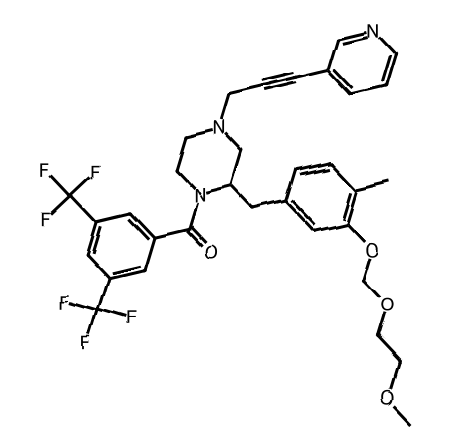 COCCOCOc1cc(CC2CN(CC#Cc3cccnc3)CCN2C(=O)c2cc(C(F)(F)F)cc(C(F)(F)F)c2)ccc1C